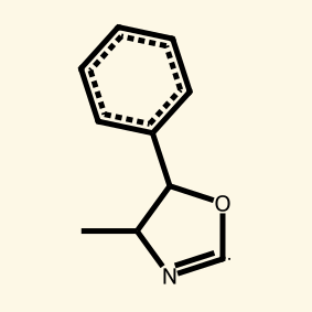 CC1N=[C]OC1c1ccccc1